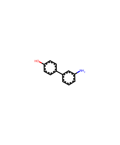 Nc1[c]ccc(-c2ccc(O)cc2)c1